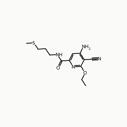 CCOc1nc(C(=O)NCCCSC)cc(N)c1C#N